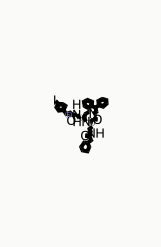 O=C(/C=C/c1ccc(I)cc1)NC[C@@H]1CCN(CC(c2ccccc2)c2ccccc2)C(=O)[C@H](CCNC(=O)CC2CCCCC2)N1